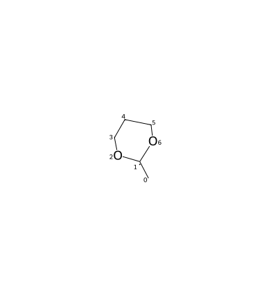 C[C]1OCCCO1